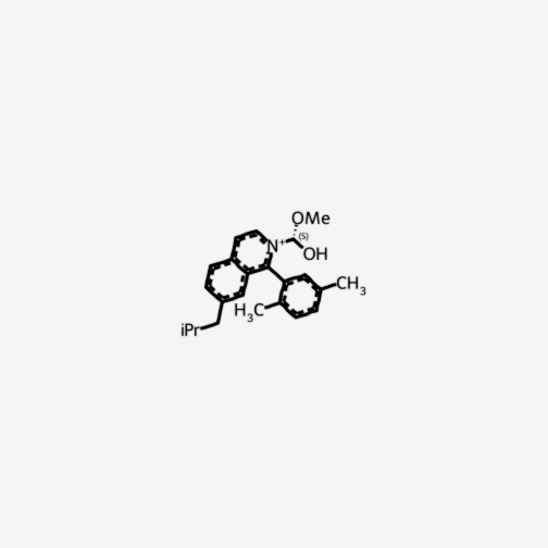 CO[C@H](O)[n+]1ccc2ccc(CC(C)C)cc2c1-c1cc(C)ccc1C